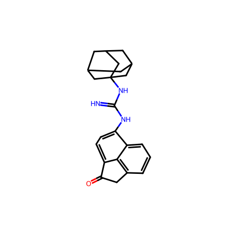 N=C(Nc1ccc2c3c(cccc13)CC2=O)NC12CC3CC(CC(C3)C1)C2